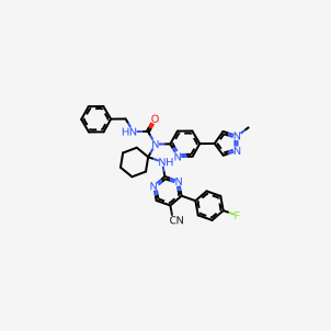 Cn1cc(-c2ccc(N(C(=O)NCc3ccccc3)C3(Nc4ncc(C#N)c(-c5ccc(F)cc5)n4)CCCCC3)nc2)cn1